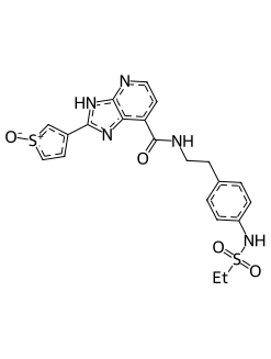 CCS(=O)(=O)Nc1ccc(CCNC(=O)c2ccnc3[nH]c(-c4cc[s+]([O-])c4)nc23)cc1